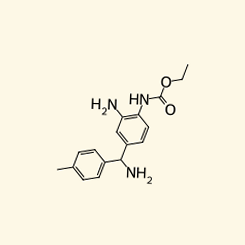 CCOC(=O)Nc1ccc(C(N)c2ccc(C)cc2)cc1N